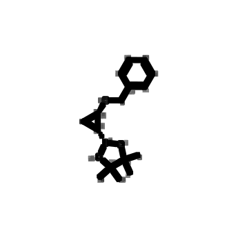 CC1(C)OB([C@@H]2C[C@H]2OCc2ccccc2)OC1(C)C